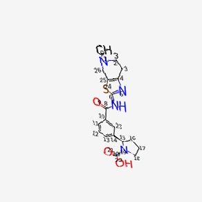 CN1CCc2nc(NC(=O)c3cccc([C@H]4CCCN4C(=O)O)c3)sc2C1